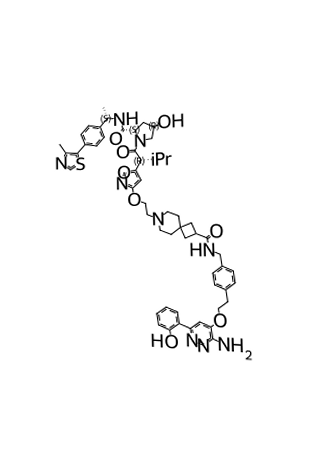 Cc1ncsc1-c1ccc([C@H](C)NC(=O)[C@@H]2C[C@@H](O)CN2C(=O)[C@@H](c2cc(OCCN3CCC4(CC3)CC(C(=O)NCc3ccc(CCOc5cc(-c6ccccc6O)nnc5N)cc3)C4)no2)C(C)C)cc1